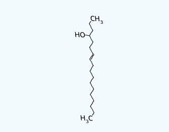 CCCCCCCCCC/C=C/CCC(O)CCC